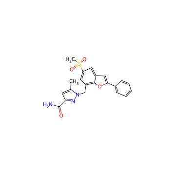 Cc1cc(C(N)=O)nn1Cc1cc(S(C)(=O)=O)cc2cc(-c3ccccc3)oc12